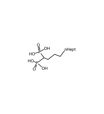 CCCCCCCCCCC(P(=O)(O)O)P(=O)(O)O